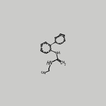 C=C(NCN=O)Nc1ccccc1-c1ccccc1